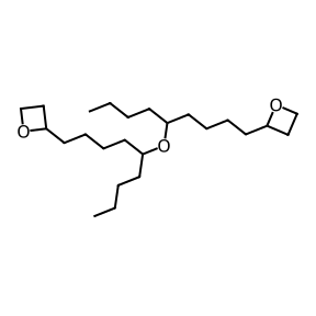 CCCCC(CCCCC1CCO1)OC(CCCC)CCCCC1CCO1